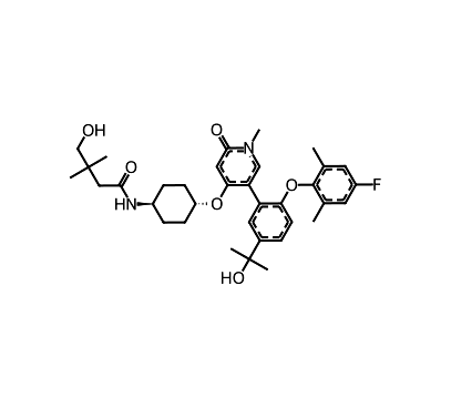 Cc1cc(F)cc(C)c1Oc1ccc(C(C)(C)O)cc1-c1cn(C)c(=O)cc1O[C@H]1CC[C@H](NC(=O)CC(C)(C)CO)CC1